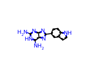 Nc1nc2nc(-c3ccc4[nH]ccc4c3)nc-2c(N)[nH]1